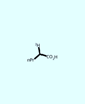 [2H]C(CCC)C(=O)O